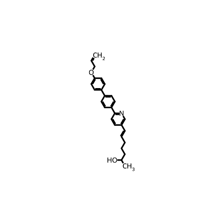 C=CCOc1ccc(-c2ccc(-c3ccc(C=CCCCC(C)O)cn3)cc2)cc1